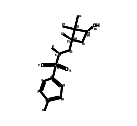 Cc1ccc(S(=O)(=O)N(C)C[C@@]2(C)C[C@H](O)C2(C)C)cc1